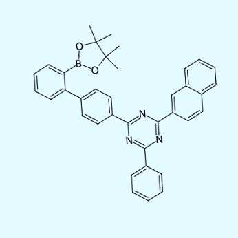 CC1(C)OB(c2ccccc2-c2ccc(-c3nc(-c4ccccc4)nc(-c4ccc5ccccc5c4)n3)cc2)OC1(C)C